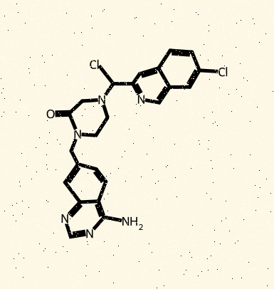 Nc1ncnc2cc(CN3CCN(C(Cl)c4cc5ccc(Cl)cc5cn4)CC3=O)ccc12